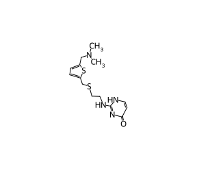 CN(C)Cc1ccc(CSCCNc2nc(=O)cc[nH]2)s1